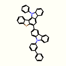 C1=CC2c3cc(-c4ccc5c(c4)c4ccccc4n5-c4cccc(-c5ccccc5)c4)c4sc5ccccc5c4c3N(c3ccccc3)C2C=C1